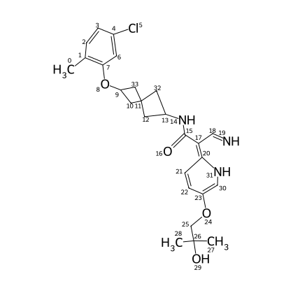 Cc1ccc(Cl)cc1OC1CC2(CC(NC(=O)/C(C=N)=C3\C=CC(OCC(C)(C)O)=CN3)C2)C1